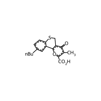 CCCCc1ccc2c(c1)-c1oc(C(=O)O)c(C)c(=O)c1CS2